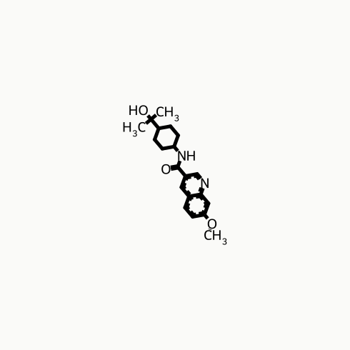 COc1ccc2cc(C(=O)NC3CCC(C(C)(C)O)CC3)cnc2c1